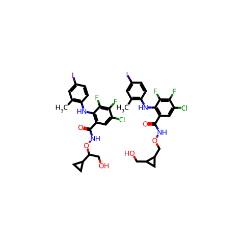 Cc1cc(I)ccc1Nc1c(C(=O)NOC(CO)C2CC2)cc(Cl)c(F)c1F.Cc1cc(I)ccc1Nc1c(C(=O)NOCC2CC2CO)cc(Cl)c(F)c1F